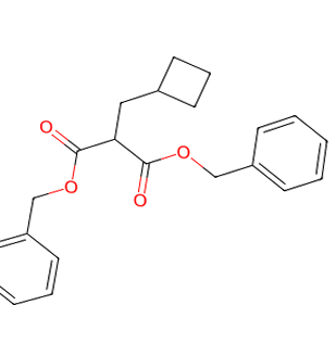 O=C(OCc1ccccc1)C(CC1CCC1)C(=O)OCc1ccccc1